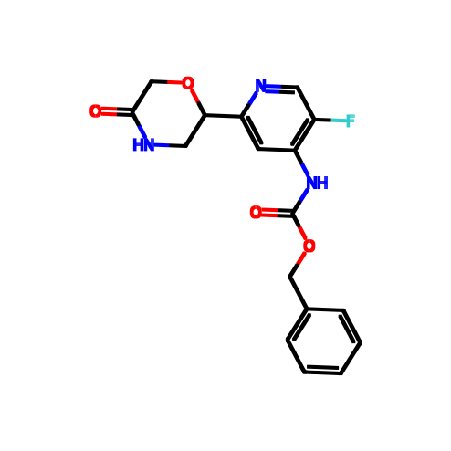 O=C1COC(c2cc(NC(=O)OCc3ccccc3)c(F)cn2)CN1